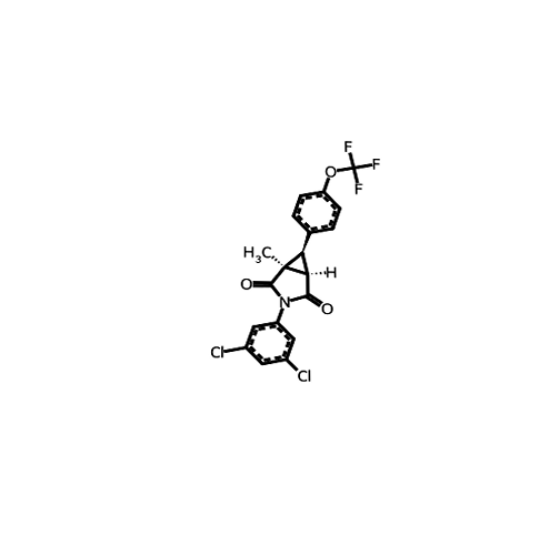 C[C@@]12C(=O)N(c3cc(Cl)cc(Cl)c3)C(=O)[C@@H]1[C@@H]2c1ccc(OC(F)(F)F)cc1